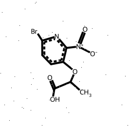 CC(Oc1ccc(Br)nc1[N+](=O)[O-])C(=O)O